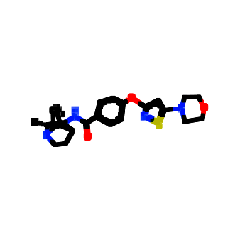 C[C@H]1[C@H](NC(=O)c2ccc(Oc3cc(N4CCOCC4)sn3)cc2)C2CCN1CC2